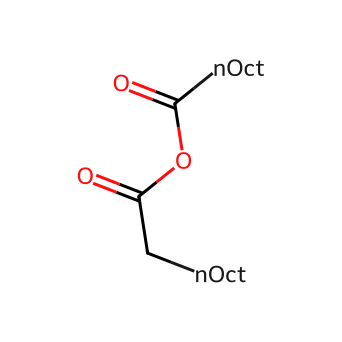 CCCCCCCCCC(=O)OC(=O)CCCCCCCC